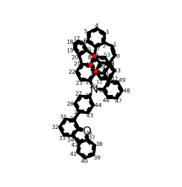 C1=Cc2ccccc2C2(c3ccccc31)c1ccccc1-c1ccc(N(c3ccc(-c4cccc5c4oc4ccccc45)cc3)c3ccccc3-c3ccccc3)cc12